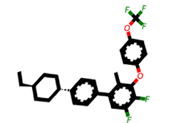 CC[C@H]1CC[C@H](c2ccc(-c3cc(F)c(F)c(Oc4ccc(OC(F)(F)F)cc4)c3C)cc2)CC1